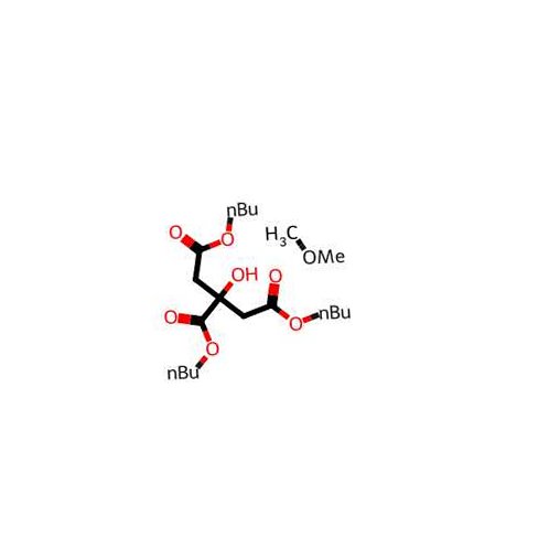 CCCCOC(=O)CC(O)(CC(=O)OCCCC)C(=O)OCCCC.COC